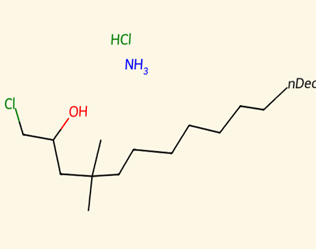 CCCCCCCCCCCCCCCCCC(C)(C)CC(O)CCl.Cl.N